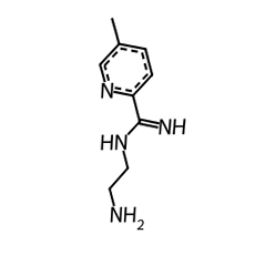 Cc1ccc(C(=N)NCCN)nc1